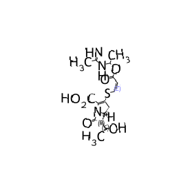 CC(=N)NC(C)OC(=O)/C=C\SC1=C(C(=O)O)N2C(=O)[C@@H]([C@H](C)O)[C@H]2C1